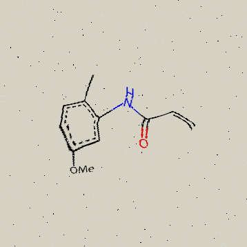 C=CC(=O)Nc1cc(OC)ccc1C